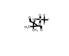 CC1(C)C([C]=O)C1([C]=O)NS(=O)(=O)C(F)(F)F